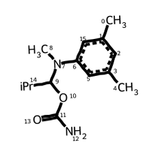 Cc1cc(C)cc(N(C)C(OC(N)=O)C(C)C)c1